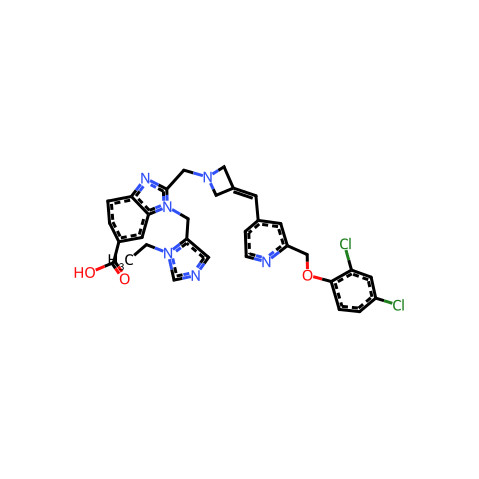 CCn1cncc1Cn1c(CN2CC(=Cc3ccnc(COc4ccc(Cl)cc4Cl)c3)C2)nc2ccc(C(=O)O)cc21